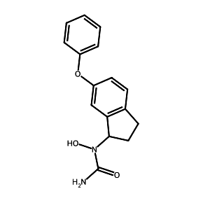 NC(=O)N(O)C1CCc2ccc(Oc3ccccc3)cc21